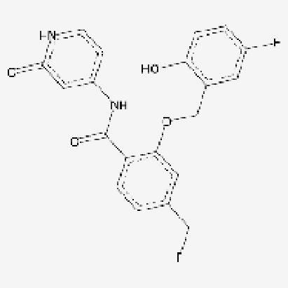 O=C(Nc1cc[nH]c(=O)c1)c1ccc(CF)cc1OCc1cc(F)ccc1O